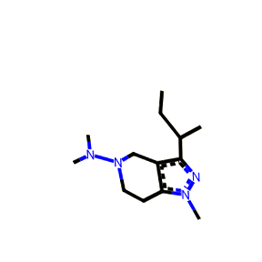 CCC(C)c1nn(C)c2c1CN(N(C)C)CC2